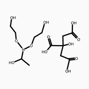 CC(O)N(OCCO)OCCO.O=C(O)CC(O)(CC(=O)O)C(=O)O